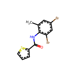 Cc1cc(Br)cc(Br)c1NC(=O)c1cccs1